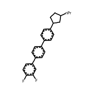 CCCC1CCC(c2ccc(-c3ccc(-c4ccc(F)c(F)c4)cc3)cc2)C1